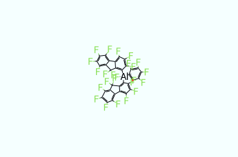 Fc1c(F)c(F)[c]([Al-]([F])([c]2c(F)c(F)c(F)c3c2C(F)(F)c2c(F)c(F)c(F)c(F)c2-3)[c]2c(F)c(F)c(F)c3c2C(F)(F)c2c(F)c(F)c(F)c(F)c2-3)c(F)c1F